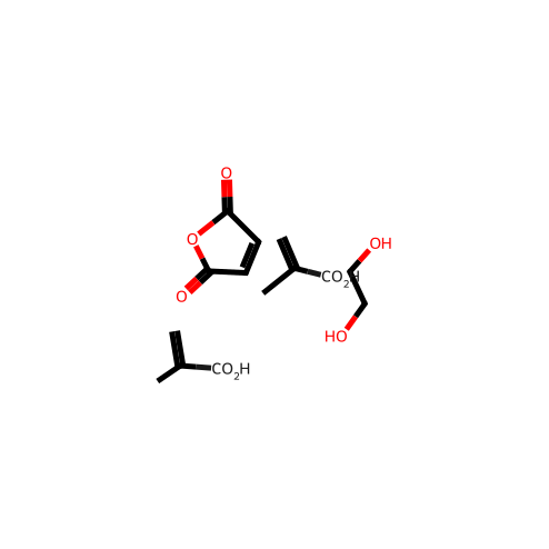 C=C(C)C(=O)O.C=C(C)C(=O)O.O=C1C=CC(=O)O1.OCCO